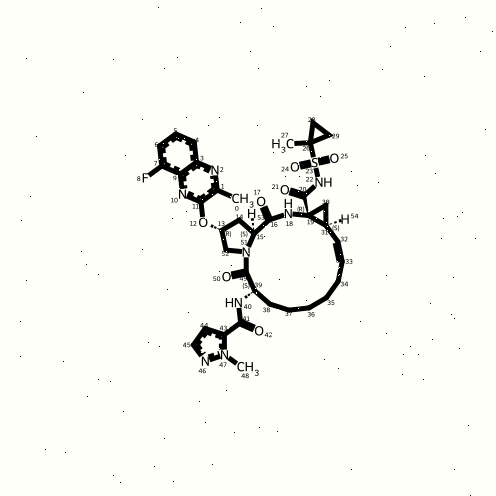 Cc1nc2cccc(F)c2nc1O[C@@H]1C[C@H]2C(=O)N[C@]3(C(=O)NS(=O)(=O)C4(C)CC4)C[C@H]3C=CCCCCC[C@H](NC(=O)c3ccnn3C)C(=O)N2C1